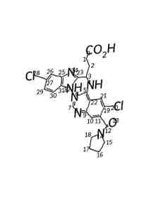 O=C(O)CCC(Nc1ncnc2cc(C(=O)N3CCCC3)c(Cl)cc12)c1nc2cc(Cl)ccc2[nH]1